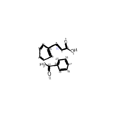 O=C(O)/C=C/c1ccccc1.O=C(O)c1ccccc1